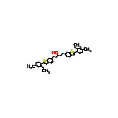 CCc1cc(C)ccc1-c1cc2ccc(CCC(O)CCc3ccc4cc(-c5ccc(C)cc5CC)sc4c3)cc2s1